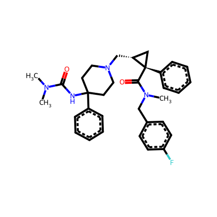 CN(C)C(=O)NC1(c2ccccc2)CCN(C[C@@H]2C[C@@]2(C(=O)N(C)Cc2ccc(F)cc2)c2ccccc2)CC1